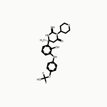 C[C@@]1(c2cccc(Nc3ccc(OC(O)(F)F)cc3)c2O)CC(=O)N(C2CCOCC2)C(=N)N1